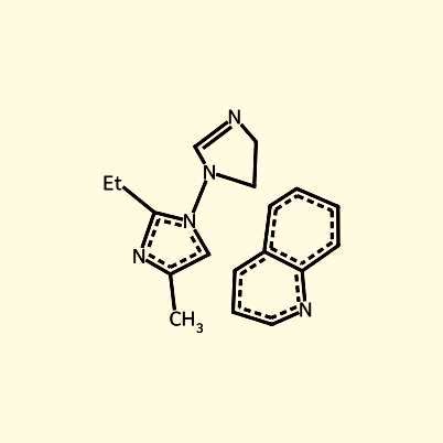 CCc1nc(C)cn1N1C=NCC1.c1ccc2ncccc2c1